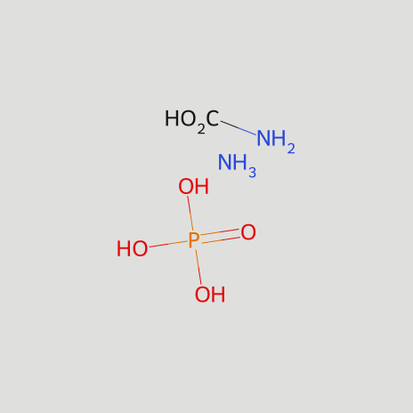 N.NC(=O)O.O=P(O)(O)O